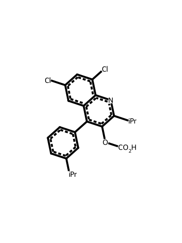 CC(C)c1cccc(-c2c(OC(=O)O)c(C(C)C)nc3c(Cl)cc(Cl)cc23)c1